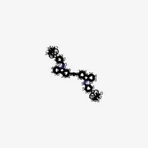 CC1(C)OB(c2ccc(/C=C3\c4ccccc4-c4ccc(C#Cc5ccc6c(c5)/C(=C/c5ccc(B7OC(C)(C)C(C)(C)O7)cc5)c5ccccc5-6)cc43)cc2)OC1(C)C